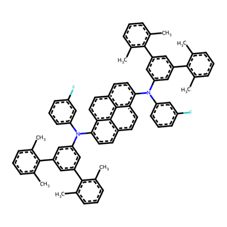 Cc1cccc(C)c1-c1cc(-c2c(C)cccc2C)cc(N(c2cccc(F)c2)c2ccc3ccc4c(N(c5cccc(F)c5)c5cc(-c6c(C)cccc6C)cc(-c6c(C)cccc6C)c5)ccc5ccc2c3c54)c1